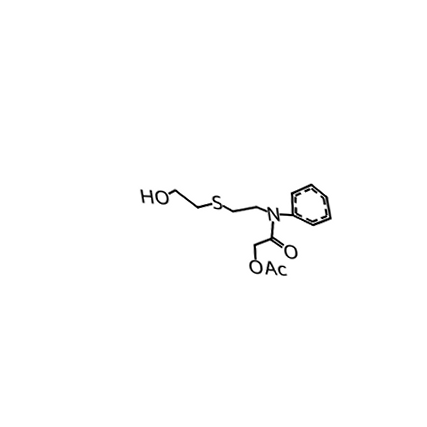 CC(=O)OCC(=O)N(CCSCCO)c1ccccc1